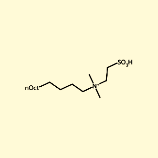 CCCCCCCCCCCC[N+](C)(C)CCS(=O)(=O)O